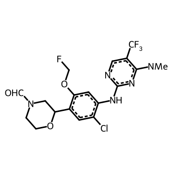 CNc1nc(Nc2cc(OCF)c(C3CN(C=O)CCO3)cc2Cl)ncc1C(F)(F)F